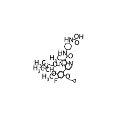 COc1cc(-c2ccnc3c(C(=O)NC4CCC(NC(=O)O)CC4)c(C)n(COCC[Si](C)(C)C)c23)c(OCC2CC2)cc1F